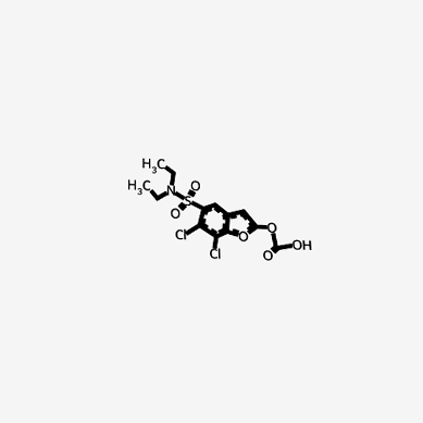 CCN(CC)S(=O)(=O)c1cc2cc(OC(=O)O)oc2c(Cl)c1Cl